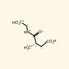 C[C@@H](CC(=O)O)C(=O)NCC(=O)O